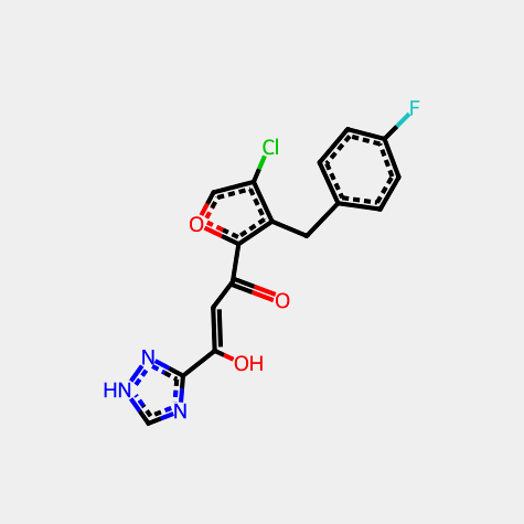 O=C(C=C(O)c1nc[nH]n1)c1occ(Cl)c1Cc1ccc(F)cc1